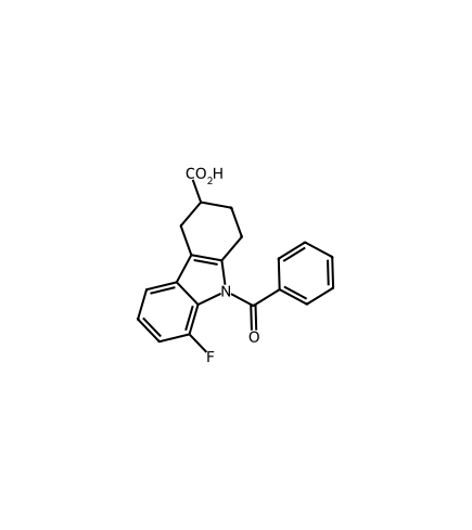 O=C(O)C1CCc2c(c3cccc(F)c3n2C(=O)c2ccccc2)C1